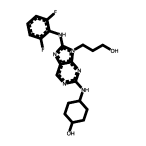 OCCCn1c(Nc2c(F)cccc2F)nc2cnc(NC3CCC(O)CC3)nc21